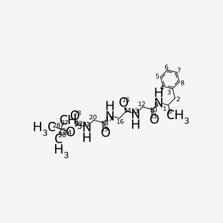 CC(Cc1ccccc1)NC(=O)CNC(=O)CNC(=O)CNC(=O)OC(C)(C)C